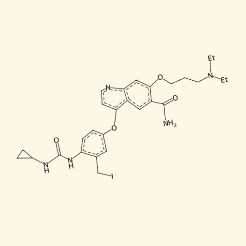 CCN(CC)CCCOc1cc2nccc(Oc3ccc(NC(=O)NC4CC4)c(CI)c3)c2cc1C(N)=O